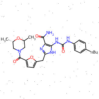 CCCCc1ccc(NC(=O)Nc2[nH]c(Cc3ccc(C(=O)N4CC(C)O[C@@H](C)C4)o3)nc2C(N)=O)cc1